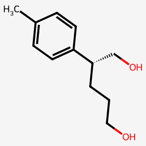 Cc1ccc([C@H](CO)CCCO)cc1